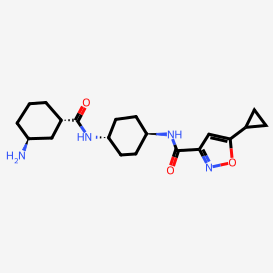 N[C@H]1CCC[C@H](C(=O)N[C@H]2CC[C@H](NC(=O)c3cc(C4CC4)on3)CC2)C1